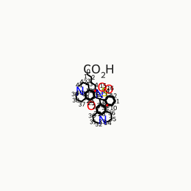 O=C(O)CCCCCN1C2(c3ccccc3S1(=O)=O)c1cc3c4c(c1Oc1c2cc2c5c1CCCN5CCC2)CCCN4CCC3